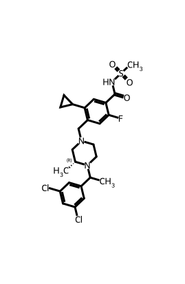 CC(c1cc(Cl)cc(Cl)c1)N1CCN(Cc2cc(F)c(C(=O)NS(C)(=O)=O)cc2C2CC2)C[C@H]1C